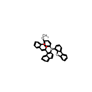 COc1ccc(N(c2ccc3ccccc3c2-c2ccc3ccccc3c2)c2cccc3c2oc2ccccc23)cc1